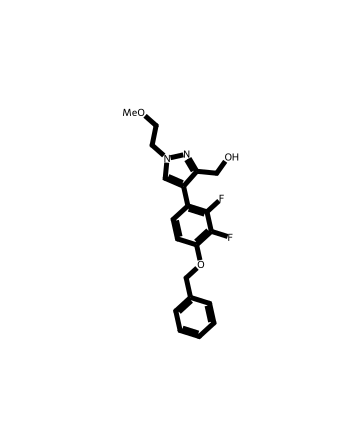 COCCn1cc(-c2ccc(OCc3ccccc3)c(F)c2F)c(CO)n1